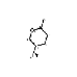 CC1CCC(C(C)C)CO1